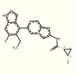 CCc1c(F)cc2[nH]ncc2c1-c1cn2cc(NC(=O)[C@@H]3C[C@@H]3F)nc2cn1